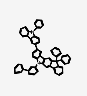 c1ccc(-c2cccc(-n3c4ccc(-c5ccc6c(c5)c5ccccc5n6-c5ccccc5)cc4c4cc5c(cc43)-c3ccccc3C5(c3ccccc3)c3ccccc3)c2)cc1